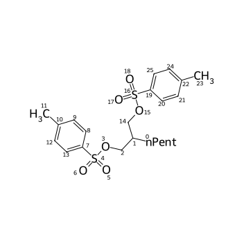 CCCCCC(COS(=O)(=O)c1ccc(C)cc1)COS(=O)(=O)c1ccc(C)cc1